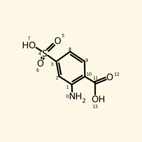 Nc1cc(S(=O)(=O)O)ccc1C(=O)O